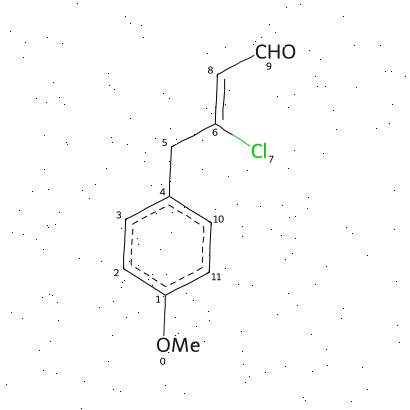 COc1ccc(CC(Cl)=CC=O)cc1